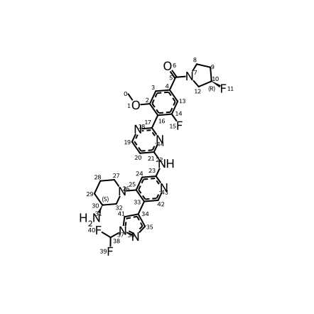 COc1cc(C(=O)N2CC[C@@H](F)C2)cc(F)c1-c1nccc(Nc2cc(N3CCC[C@H](N)C3)c(-c3cnn(C(F)F)c3)cn2)n1